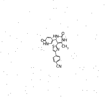 CC1=C(c2nc(-c3ccc(C#N)cc3)cs2)C(c2ccc(=O)[nH]c2)NC(=O)N1